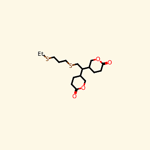 CCSCCCSCC(C1CCC(=O)OC1)C1CCC(=O)OC1